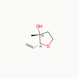 C=C[C@H]1OCC[C@@]1(C)O